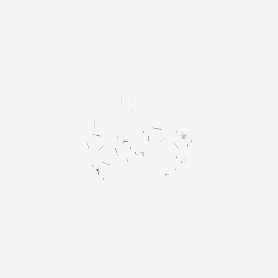 C[C@@H]1CCC[C@H](n2cnc(-c3cc(Cl)ccc3-c3csnn3)cc2=O)c2cc(ccn2)-c2c(cnn2C)NC1=O.O=C(O)C(F)(F)F